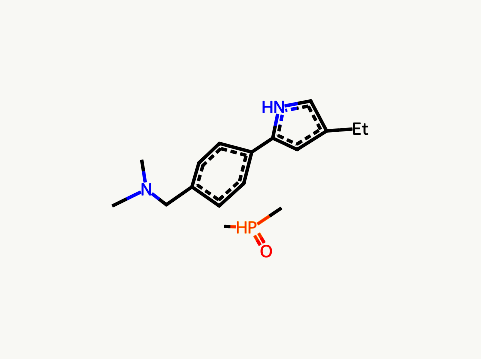 CCc1c[nH]c(-c2ccc(CN(C)C)cc2)c1.C[PH](C)=O